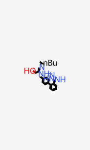 C=NNC(=N)c1ccccc1-c1ccc(CN/C(=C\N=C(/C)CCCC)CO)cc1